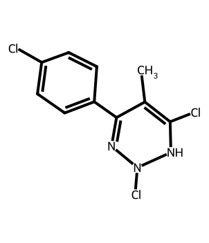 CC1=C(Cl)NN(Cl)N=C1c1ccc(Cl)cc1